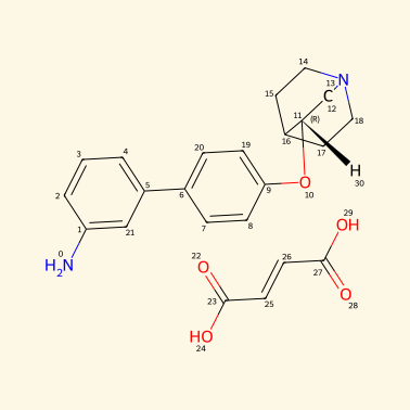 Nc1cccc(-c2ccc(O[C@H]3CN4CCC3CC4)cc2)c1.O=C(O)C=CC(=O)O